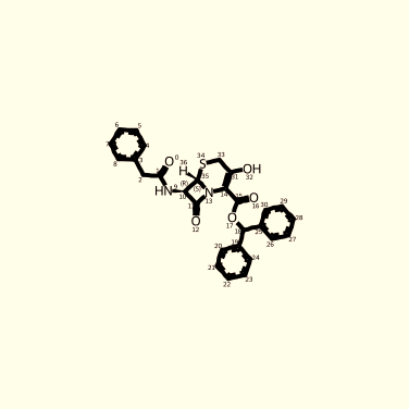 O=C(Cc1ccccc1)N[C@@H]1C(=O)N2C(C(=O)OC(c3ccccc3)c3ccccc3)=C(O)CS[C@@H]12